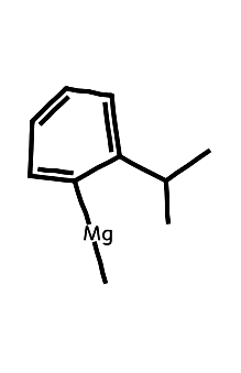 [CH3][Mg][c]1ccccc1C(C)C